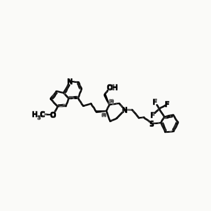 COc1ccc2nccc(CCC[C@@H]3CCN(CCCSc4ccccc4C(F)(F)F)C[C@@H]3CO)c2c1